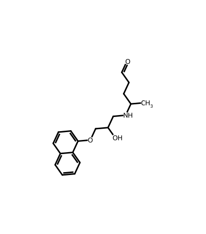 CC(CCC=O)NCC(O)COc1cccc2ccccc12